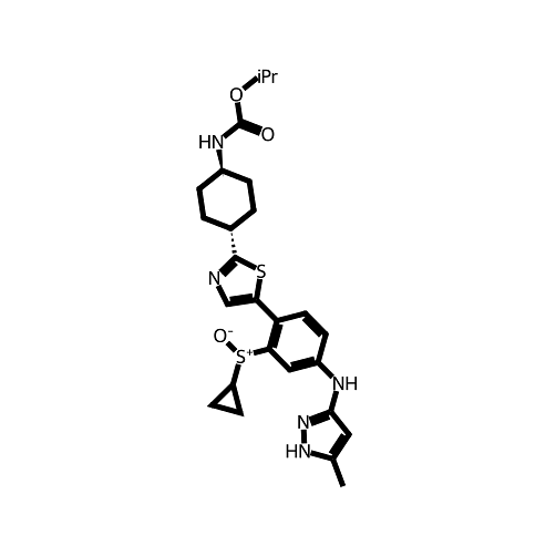 Cc1cc(Nc2ccc(-c3cnc([C@H]4CC[C@H](NC(=O)OC(C)C)CC4)s3)c([S+]([O-])C3CC3)c2)n[nH]1